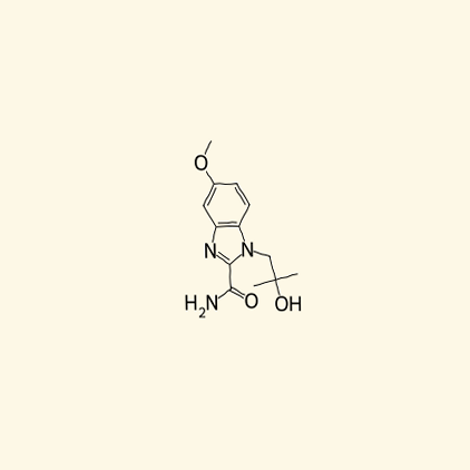 COc1ccc2c(c1)nc(C(N)=O)n2CC(C)(C)O